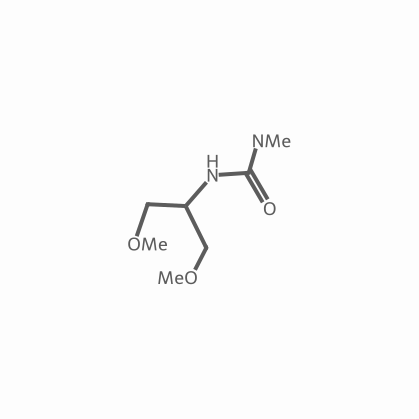 CNC(=O)NC(COC)COC